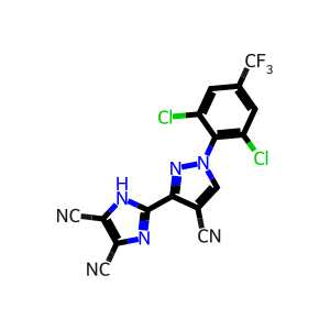 N#Cc1cn(-c2c(Cl)cc(C(F)(F)F)cc2Cl)nc1-c1nc(C#N)c(C#N)[nH]1